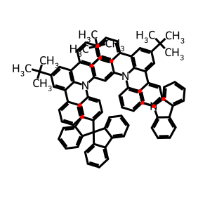 CC(C)(C)c1cc(N(c2cccc(-n3c4ccccc4c4ccccc43)c2)c2c(-c3ccccc3)cc(C(C)(C)C)cc2-c2ccccc2)cc(N(c2ccc3c(c2)-c2ccccc2C32c3ccccc3-c3ccccc32)c2c(-c3ccccc3)cc(C(C)(C)C)cc2-c2ccccc2)c1